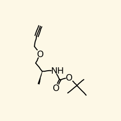 C#CCOC[C@H](C)NC(=O)OC(C)(C)C